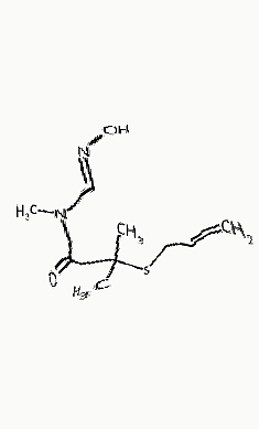 C=CCSC(C)(C)C(=O)N(C)C=NO